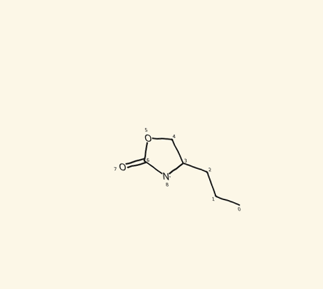 CCCC1COC(=O)[N]1